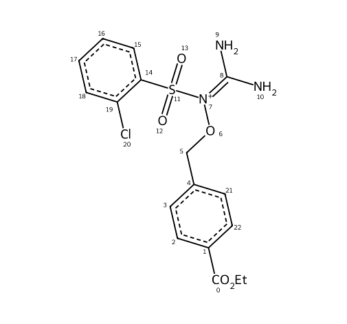 CCOC(=O)c1ccc(CO[N+](=C(N)N)S(=O)(=O)c2ccccc2Cl)cc1